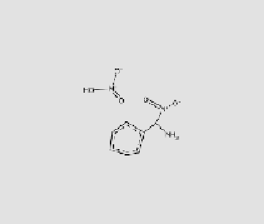 NC(c1ccccc1)[N+](=O)[O-].O=[N+]([O-])O